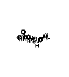 C[C@@H](NC(=O)c1ccc2c(C3CCCCC3)n(-c3ccccn3)nc2c1)C(=O)Nc1ccc(-c2cnc(Cl)n2C)cc1